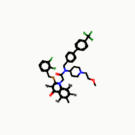 [2H]c1c(C)c([2H])c2c(=O)c([2H])c(SCc3cccc(F)c3F)n(CC(=O)N(Cc3ccc(-c4ccc(C(F)(F)F)cc4)cc3)C3CCN(CCOC)CC3)c2c1[2H]